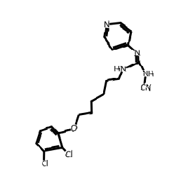 N#CNC(=Nc1ccncc1)NCCCCCCOc1cccc(Cl)c1Cl